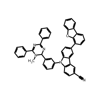 CN1C(c2ccccc2)=NC(c2ccccc2)=NC1c1cccc(-n2c3ccc(C#N)cc3c3cc(-c4cccc5c4oc4ccccc45)ccc32)c1